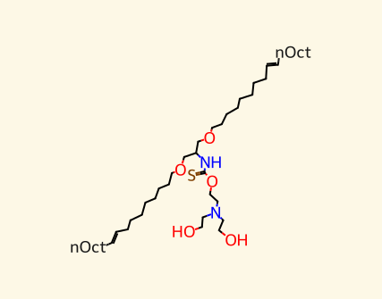 CCCCCCCCC=CCCCCCCCCOCC(COCCCCCCCCC=CCCCCCCCC)NC(=S)OCCN(CCO)CCO